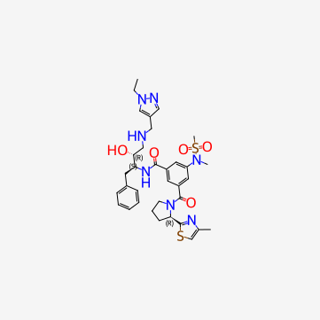 CCn1cc(CNC[C@@H](O)[C@H](Cc2ccccc2)NC(=O)c2cc(C(=O)N3CCC[C@@H]3c3nc(C)cs3)cc(N(C)S(C)(=O)=O)c2)cn1